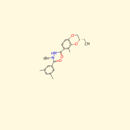 Cc1cc(C)cc(C(=O)N(NC(=O)c2ccc3c(c2C)O[C@@H](CC#N)CO3)C(C)(C)C)c1